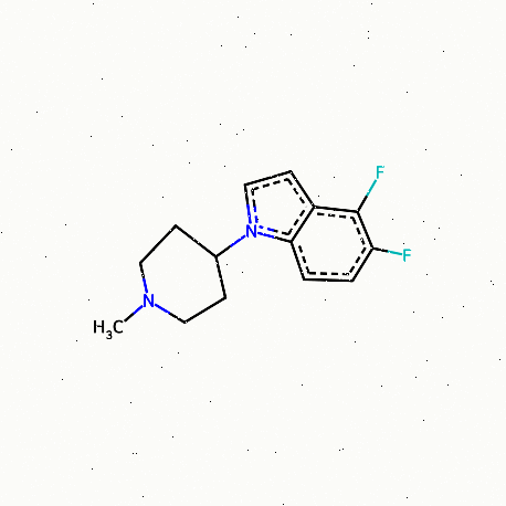 CN1CCC(n2ccc3c(F)c(F)ccc32)CC1